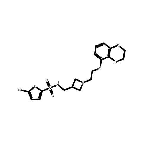 O=S(=O)(NCC1CN(CCOc2cccc3c2OCCO3)C1)c1ccc(Cl)s1